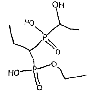 CCOP(=O)(O)C(CC)P(=O)(O)C(C)O